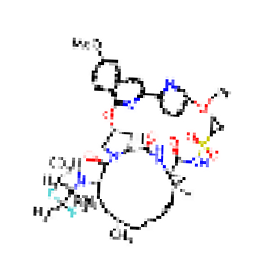 COc1ccc2c(O[C@@H]3C[C@H]4C(=O)N[C@]5(C(=O)NS(=O)(=O)C6CC6)C[C@H]5/C=C\CC[C@H](C)C[C@@H](C)[C@H](N(C(=O)O)C(C)(C)C(C)(F)F)C(=O)N4C3)nc(-c3ccc(OC(C)C)cn3)cc2c1